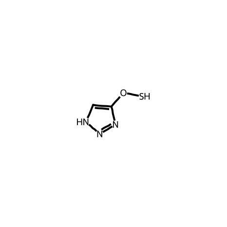 SOc1c[nH]nn1